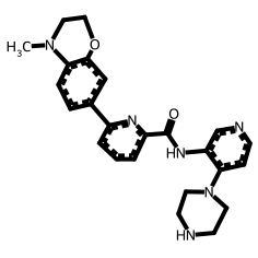 CN1CCOc2cc(-c3cccc(C(=O)Nc4cnccc4N4CCNCC4)n3)ccc21